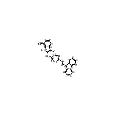 O=C(N[C@@H](Cc1c[nH]c2c(Cl)cccc12)C(=O)O)OCC1c2ccccc2-c2ccccc21